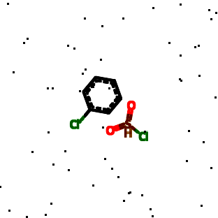 Clc1ccccc1.O=[SH](=O)Cl